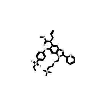 C=CCC(C(=O)OC)c1cc2nc(-c3ccccn3)n(COCC[Si](C)(C)C)c2cc1Oc1ccc(S(=O)(=O)CC)cc1